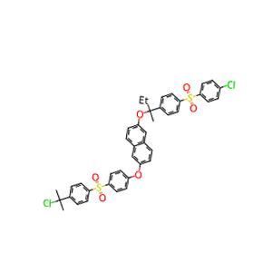 CCC(C)(Oc1ccc2cc(Oc3ccc(S(=O)(=O)c4ccc(C(C)(C)Cl)cc4)cc3)ccc2c1)c1ccc(S(=O)(=O)c2ccc(Cl)cc2)cc1